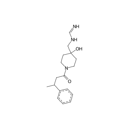 CC(CC(=O)N1CCC(O)(CNC=N)CC1)c1ccccc1